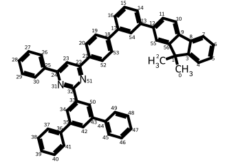 CC1(C)c2ccccc2-c2ccc(-c3cccc(-c4ccc(-c5cc(-c6ccccc6)nc(-c6cc(-c7ccccc7)cc(-c7ccccc7)c6)n5)cc4)c3)cc21